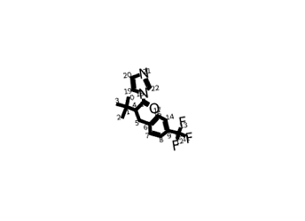 CC(C)(C)C(Cc1ccc(C(F)(F)F)cc1)C(=O)n1ccnc1